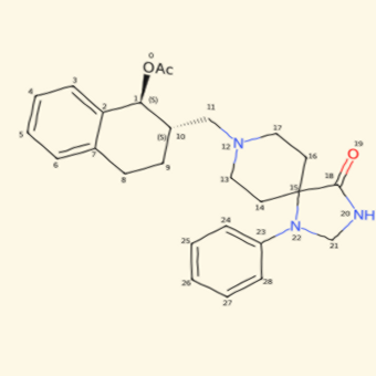 CC(=O)O[C@@H]1c2ccccc2CC[C@H]1CN1CCC2(CC1)C(=O)NCN2c1ccccc1